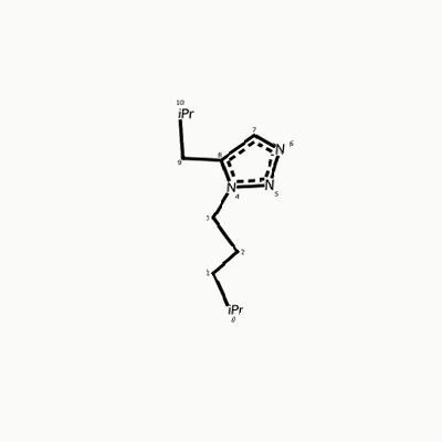 CC(C)CCCn1nncc1CC(C)C